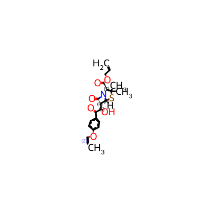 C=CCOC(=O)[C@@H]1N2C(=O)[C@@H]([C@H](O)C(=O)c3ccc(O/C=C\C)cc3)[C@H]2SC1(C)C